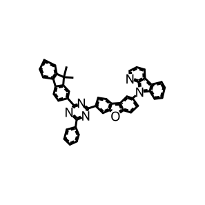 CC1(C)c2ccccc2-c2ccc(-c3nc(-c4ccccc4)nc(-c4ccc5c(c4)oc4ccc(-n6c7ccccc7c7cccnc76)cc45)n3)cc21